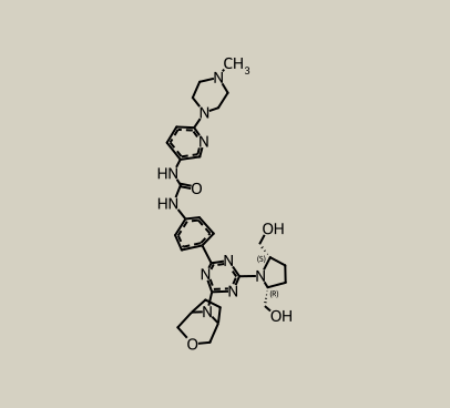 CN1CCN(c2ccc(NC(=O)Nc3ccc(-c4nc(N5C6CCC5COC6)nc(N5[C@H](CO)CC[C@@H]5CO)n4)cc3)cn2)CC1